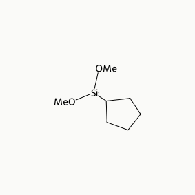 CO[Si](OC)C1CCCC1